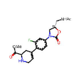 COC(=O)C1CC(c2ccc(N3C[C@H](CNC(C)=O)OC3=O)cc2F)=CCN1